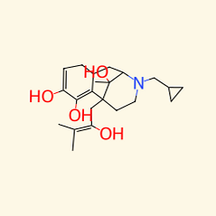 CC(C)=C(O)CC12CCN(CC3CC3)C(CC3CC=C(O)C(O)=C31)C2(C)O